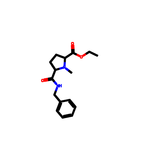 CCOC(=O)C1CCC(C(=O)NCc2ccccc2)N1C